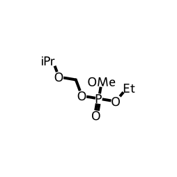 CCOP(=O)(OC)OCOC(C)C